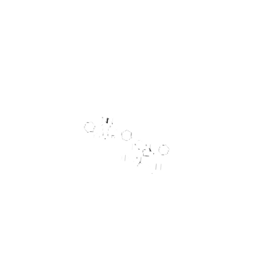 COc1ccccc1-c1nnc(C(F)(F)c2ccc(C(=O)Nc3nn(-c4ccccc4)cc3N(C(=O)O)C(C)(C)C)cc2)o1